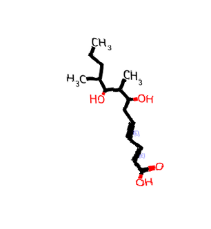 CCCC(C)C(O)C(C)C(O)C/C=C/C=C/C(=O)O